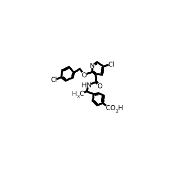 CC(NC(=O)c1cc(Cl)cnc1OCc1ccc(Cl)cc1)c1ccc(C(=O)O)cc1